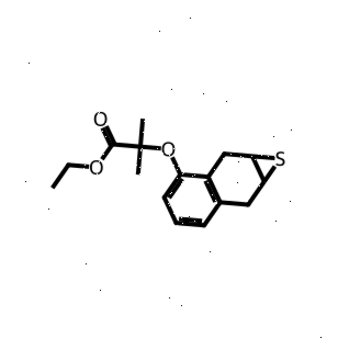 CCOC(=O)C(C)(C)Oc1cccc2c1CC1SC1C2